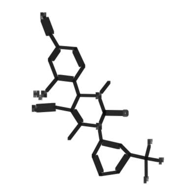 CC1=C(C#N)C(c2ccc(C#N)cc2N)N(C)C(=O)N1c1cccc(C(F)(F)F)c1